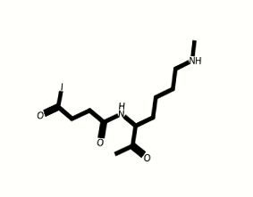 CNCCCCC(NC(=O)CCC(=O)I)C(C)=O